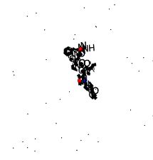 CC[C@H](C)[C@@H]([C@@H](CC(=O)N1CCC[C@H]1[C@H](OC)[C@@H](C)C(=O)N[C@@H](Cc1ccccc1)c1nn[nH]n1)OC)N(C)C(=O)[C@@H](/N=C(\N(C)C)N1CCN(C(=O)OC(C)(C)C)CC1)C(C)C